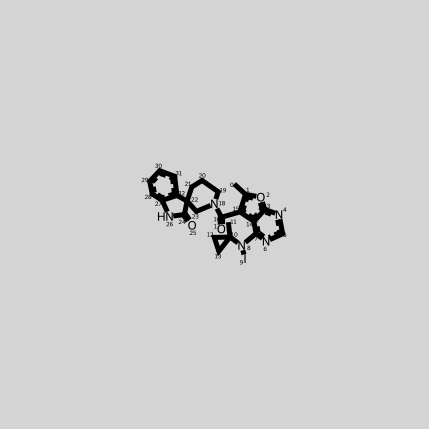 Cc1oc2ncnc(N(I)C3(C)CC3)c2c1C(=O)N1CCCC2(C1)C(=O)Nc1ccccc12